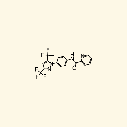 O=C(Nc1ccc(-n2nc(C(F)(F)F)cc2C(F)(F)F)cc1)c1ccccn1